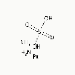 N.N.O=S(=O)(O)O.[Pt]